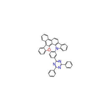 c1ccc(-c2nc(-c3ccccc3)nc(-c3cccc(-n4c5ccccc5c5ccc6c7ccccc7c7c8ccccc8oc7c6c54)c3)n2)cc1